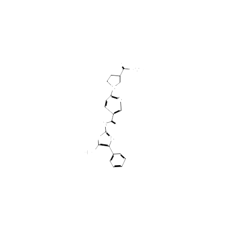 COC(=O)C1CCN(c2ccc(C(=O)Nc3nc(-c4ccccc4)c(C)s3)cn2)C1